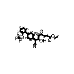 CCOC(=O)CCC(=O)c1nc2cc(-c3ccccc3OC(F)(F)F)ccc2c(C#N)c1O